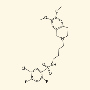 COc1cc2c(cc1OC)CN(CCCCNS(=O)(=O)c1cc(Cl)c(F)cc1F)CC2